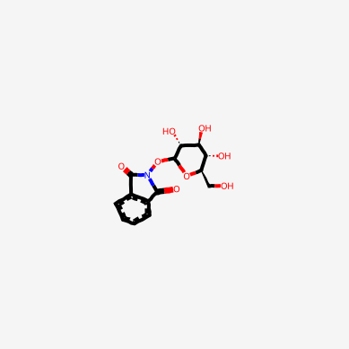 O=C1c2ccccc2C(=O)N1OC1O[C@H](CO)[C@@H](O)[C@H](O)[C@H]1O